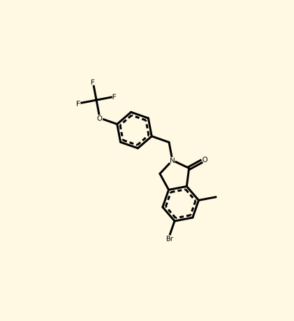 Cc1cc(Br)cc2c1C(=O)N(Cc1ccc(OC(F)(F)F)cc1)C2